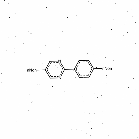 CCCCCCCCCc1ccc(-c2ncc(CCCCCCCCC)cn2)cc1